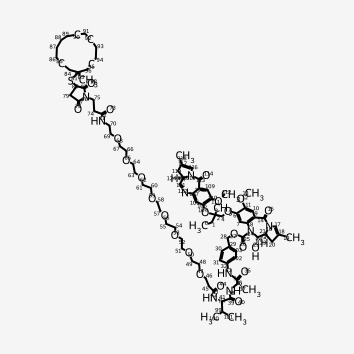 CCC(C)(COc1cc2c(cc1OC)C(=O)N1C=C(C)C[C@H]1[C@H](O)N2C(=O)OCc1ccc(NC(=O)[C@H](C)NC(=O)[C@@H](NC(=O)CCOCCOCCOCCOCCOCCOCCOCCOCCNC(=O)CCN2C(=O)CC(SC3(C)CCCCCCCCCCCCC3)C2=O)C(C)C)cc1)Oc1cc2c(cc1OC)C(=O)N1C=C(C)C[C@H]1C=N2